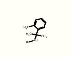 Cc1ccccc1C(C)(C)PBr